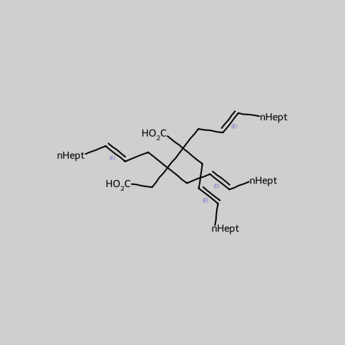 CCCCCCC/C=C/CC(C/C=C/CCCCCCC)(CC(=O)O)C(C/C=C/CCCCCCC)(C/C=C/CCCCCCC)C(=O)O